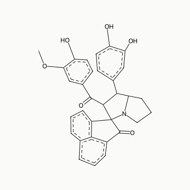 COc1cc(C(=O)C2C(c3ccc(O)c(O)c3)C3CCCN3C23C(=O)c2cccc4cccc3c24)ccc1O